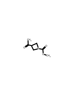 COC(=O)N1CC(C(C)=O)C1